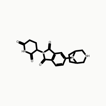 O=C1CCC(N2C(=O)c3ccc(N4C5CCC4CNC5)cc3C2=O)C(=O)N1